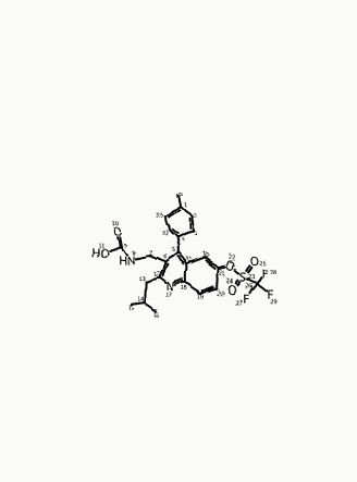 Cc1ccc(-c2c(CNC(=O)O)c(CC(C)C)nc3ccc(OS(=O)(=O)C(F)(F)F)cc23)cc1